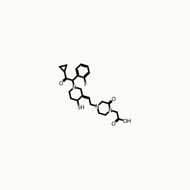 O=C(O)CN1CCN(CC=C2CN(C(C(=O)C3CC3)c3ccccc3F)CCC2S)CC1=O